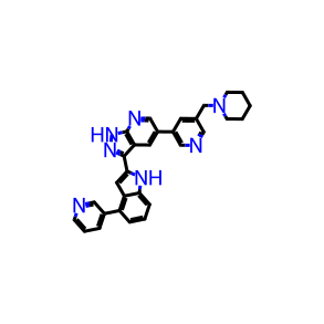 c1cncc(-c2cccc3[nH]c(-c4n[nH]c5ncc(-c6cncc(CN7CCCCC7)c6)cc45)cc23)c1